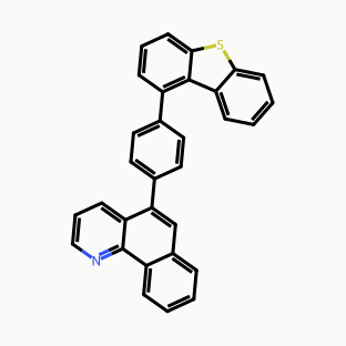 c1ccc2c(c1)cc(-c1ccc(-c3cccc4sc5ccccc5c34)cc1)c1cccnc12